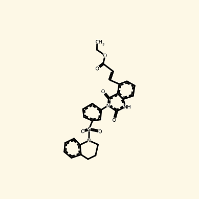 CCOC(=O)/C=C/c1cccc2[nH]c(=O)n(-c3cccc(S(=O)(=O)N4CCCc5ccccc54)c3)c(=O)c12